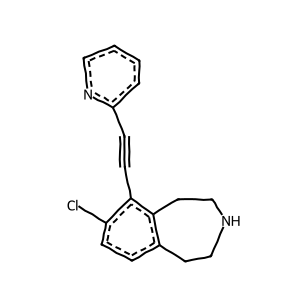 Clc1ccc2c(c1C#Cc1ccccn1)CCNCC2